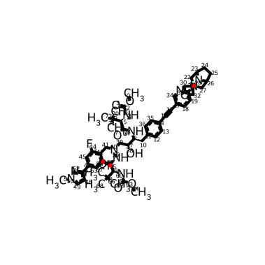 COC(=O)N[C@H](C(=O)N[C@@H](Cc1ccc(C#Cc2ccc(N3CC4CCC(C3)N4C3COC3)nc2)cc1)[C@@H](O)CN(Cc1c(F)cc(-c2ccn(C)n2)cc1F)NC(=O)[C@@H](NC(=O)OC)C(C)(C)C)C(C)(C)C